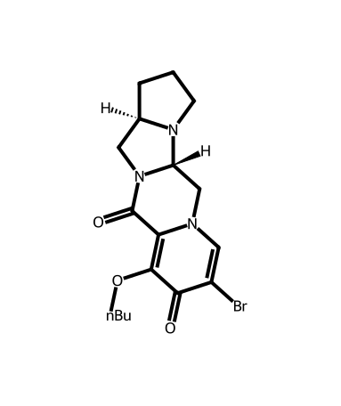 CCCCOc1c2n(cc(Br)c1=O)C[C@@H]1N(C[C@H]3CCCN31)C2=O